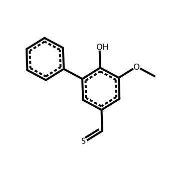 COc1cc(C=S)cc(-c2ccccc2)c1O